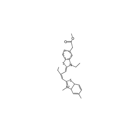 CCC(=CC1=[N+](C)C2C=C(C)C=CC2S1)C=C1Sc2ccc(CC(=O)OC)cc2N1CC